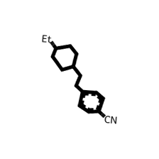 CCC1CCC(CCc2ccc(C#N)cc2)CC1